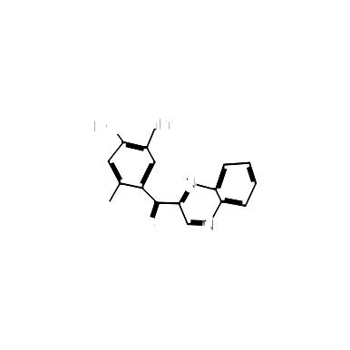 Cc1cc(O)c(C(C)C)cc1C(=O)c1cnc2ccccc2n1